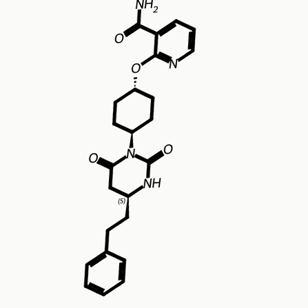 NC(=O)c1cccnc1O[C@H]1CC[C@H](N2C(=O)C[C@H](CCc3ccccc3)NC2=O)CC1